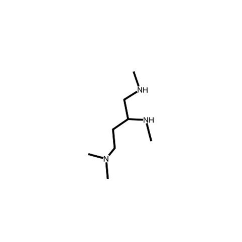 CNCC(CCN(C)C)NC